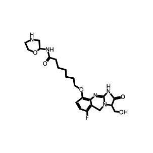 O=C(CCCCCCOc1ccc(F)c2c1N=C1NC(=O)C(CO)N1C2)NC1CNCCO1